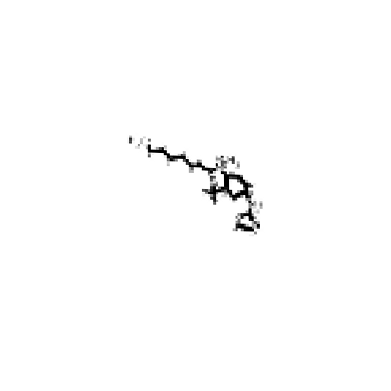 CCCCCCCCN(C)c1ccc(Nc2nccs2)cc1C(F)(F)F